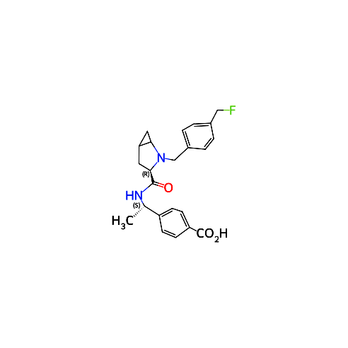 C[C@H](NC(=O)[C@H]1CC2CC2N1Cc1ccc(CF)cc1)c1ccc(C(=O)O)cc1